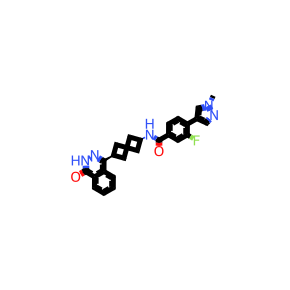 Cn1cc(-c2ccc(C(=O)N[C@H]3CC4(C3)C[C@H](c3n[nH]c(=O)c5ccccc53)C4)cc2F)cn1